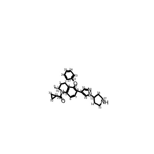 C[C@H]1CCc2c(ccc(-c3cnn(C4CCNCC4)c3)c2Oc2ccccc2)N1C(=O)C1CC1